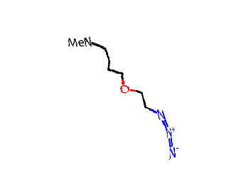 CNCCCOCCN=[N+]=[N-]